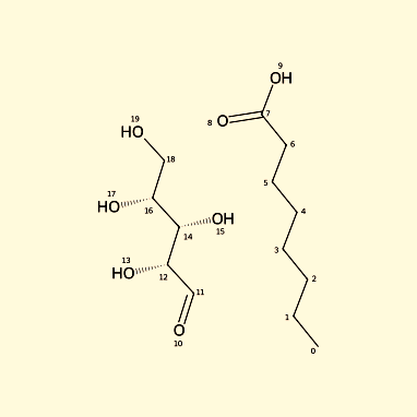 CCCCCCCC(=O)O.O=C[C@H](O)[C@@H](O)[C@H](O)CO